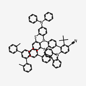 Cc1ccccc1-c1cc(-c2cc3c4c(c2)N(c2ccccc2-c2ccccc2)c2cc(-c5c(-n6c7ccccc7c7ccccc76)ccc(C#N)c5C(C)(C)C)ccc2B4c2ccc(N(c4ccccc4)c4ccccc4)cc2S3)cc(-c2ccccc2C)c1